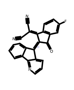 N#CC(C#N)=C1/C(=C2\c3ccccc3-c3ncccc32)C(=O)c2cc(F)ccc21